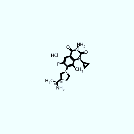 Cc1c(N2CC[C@H]([C@H](C)N)C2)c(F)cc2c(=O)n(N)c(=O)n(C3CC3)c12.Cl